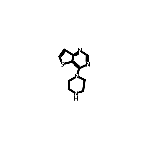 c1nc(N2CCNCC2)c2sccc2n1